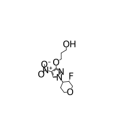 O=[N+]([O-])c1cn([C@@H]2CCOC[C@H]2F)nc1OCCCO